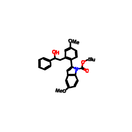 COc1ccc(-c2cc3cc(OC)ccc3n2C(=O)OC(C)(C)C)c(CC(O)c2ccccc2)c1